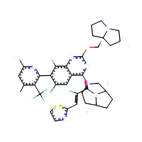 Cc1cc(N)nc(-c2c(Cl)cc3c(N4CC[C@@H]5CC[C@H](C4)N5C(=O)/C(F)=C/c4nccs4)nc(OC[C@@]45CCCN4C[C@H](F)C5)nc3c2F)c1C(F)(F)F